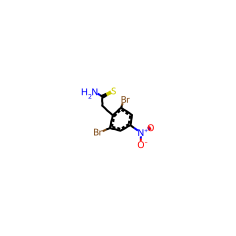 NC(=S)Cc1c(Br)cc([N+](=O)[O-])cc1Br